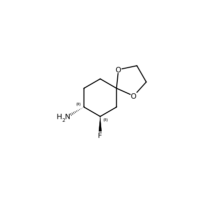 N[C@@H]1CCC2(C[C@H]1F)OCCO2